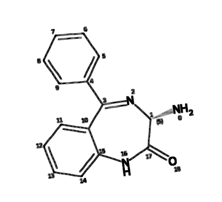 N[C@H]1N=C(c2ccccc2)c2ccccc2NC1=O